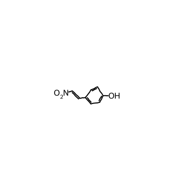 O=[N+]([O-])C=Cc1ccc(O)cc1